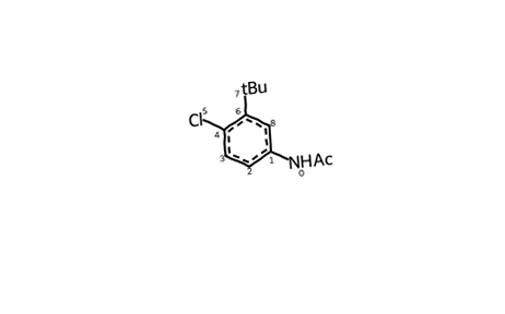 CC(=O)Nc1ccc(Cl)c(C(C)(C)C)c1